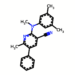 Cc1cc(C)cc(N(C)c2nc(C)c(-c3ccccc3)cc2C#N)c1